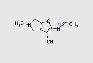 C/C=N/c1oc2c(c1C#N)CN(C)C2